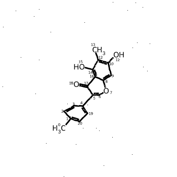 Cc1ccc(-c2coc3cc(O)c(C)c(O)c3c2=O)cc1